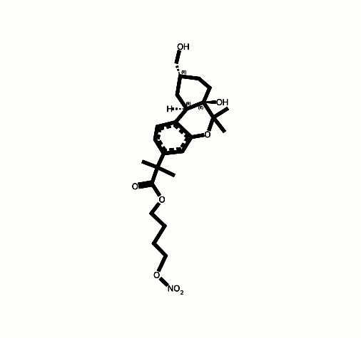 CC(C)(C(=O)OCCCCO[N+](=O)[O-])c1ccc2c(c1)OC(C)(C)[C@@]1(O)CC[C@@H](CO)C[C@H]21